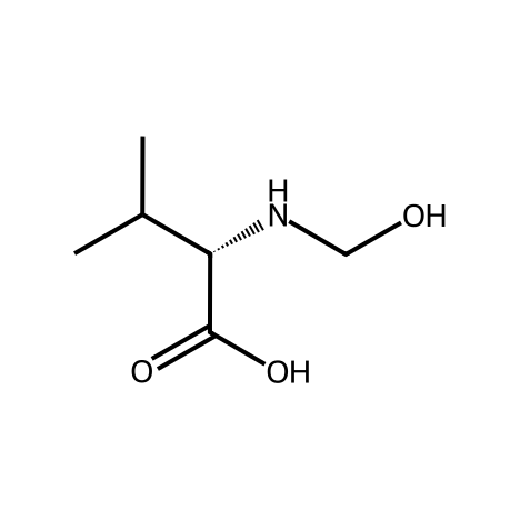 CC(C)[C@H](NCO)C(=O)O